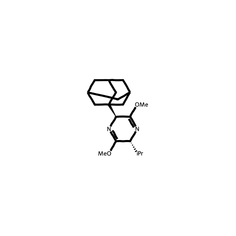 COC1=N[C@H](C(C)C)C(OC)=N[C@H]1C12CC3CC(CC(C3)C1)C2